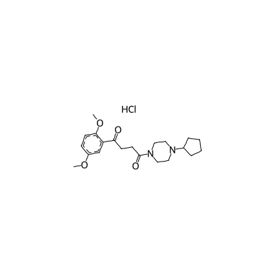 COc1ccc(OC)c(C(=O)CCC(=O)N2CCN(C3CCCC3)CC2)c1.Cl